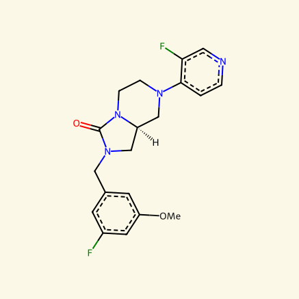 COc1cc(F)cc(CN2C[C@@H]3CN(c4ccncc4F)CCN3C2=O)c1